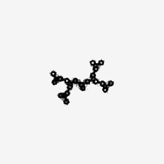 c1ccc(-n2c3ccccc3c3cc(-c4ccc5c(c4)c4cc(-c6ccc7c(c6)c6ccccc6n7-c6ccccc6)ccc4n5-c4ccc(-c5nc(-c6cccc(-n7c8ccc(-c9ccc%10c(c9)c9ccccc9n%10-c9ccccc9)cc8c8cc(-c9ccc%10c(c9)c9ccccc9n%10-c9ccccc9)ccc87)c6)nc6ccccc56)cc4)ccc32)cc1